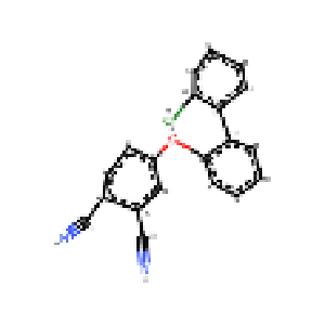 N#Cc1ccc(Oc2ccccc2-c2ccccc2Cl)cc1C#N